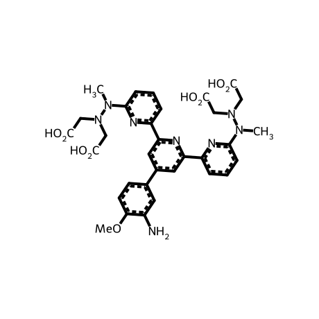 COc1ccc(-c2cc(-c3cccc(N(C)N(CC(=O)O)CC(=O)O)n3)nc(-c3cccc(N(C)N(CC(=O)O)CC(=O)O)n3)c2)cc1N